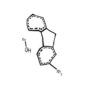 CCO.Nc1ccc2c(c1)Cc1ccccc1-2